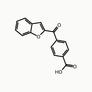 O=C(O)c1ccc(C(=O)c2cc3ccccc3o2)cc1